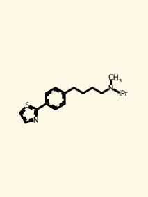 CC(C)N(C)CCCCc1ccc(-c2nccs2)cc1